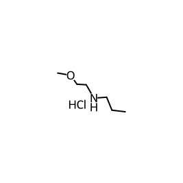 CCCNCCOC.Cl